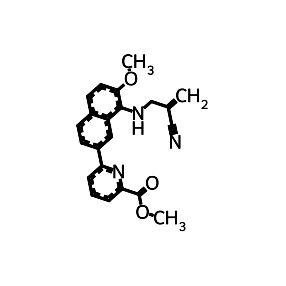 C=C(C#N)CNc1c(OC)ccc2ccc(-c3cccc(C(=O)OC)n3)cc12